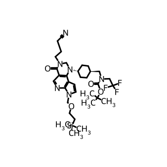 CC(C)(C)OC(=O)N(CC(F)(F)F)C[C@H]1CC[C@H](N2CN(CCCC#N)C(=O)c3cnc4c(ccn4COCC[Si](C)(C)C)c32)CC1